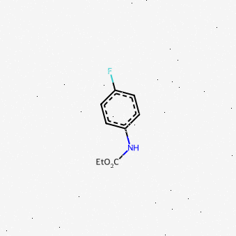 CCOC(=O)Nc1ccc(F)cc1